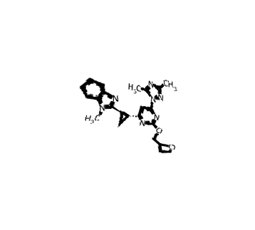 Cc1nc(C)n(-c2cc([C@@H]3C[C@H]3c3nc4ccccc4n3C)nc(OCC3CCO3)n2)n1